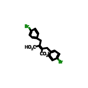 O=C(O)/C(Cc1ccc(Br)cc1)=C(/Cc1ccc(Br)cc1)C(=O)O